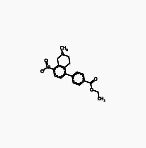 CCOC(=O)c1ccc(-c2ccc([N+](=O)[O-])c3c2CCN(C)C3)cc1